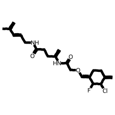 C=C(C)/C=C/CNC(=O)CCC(=C)NC(=O)CO/C=C1\CCC(=C)C(Cl)C1F